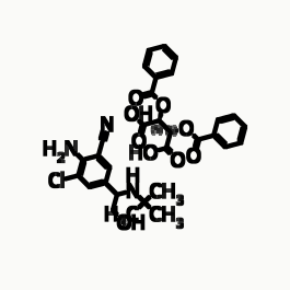 CC(C)(C)NC(CO)c1cc(Cl)c(N)c(C#N)c1.O=C(O[C@H](C(=O)O)[C@H](OC(=O)c1ccccc1)C(=O)O)c1ccccc1